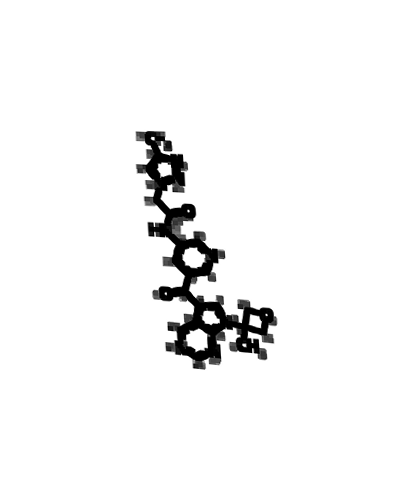 CC1(n2cc(C(=O)c3cncc(NC(=O)Cn4cc(C(F)(F)F)nn4)c3)c3cncnc32)COC1